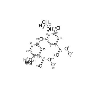 O.O.O.O.O=C(O[O-])c1cccc(Cl)c1.O=C(O[O-])c1cccc(Cl)c1.[Mg+2]